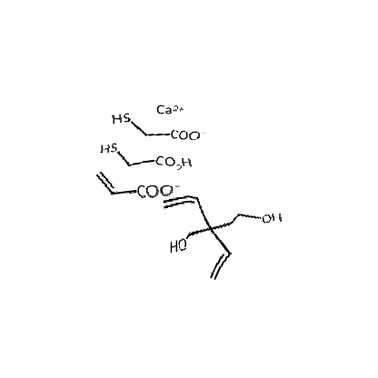 C=CC(=O)[O-].C=CC(O)(C=C)CO.O=C(O)CS.O=C([O-])CS.[Ca+2]